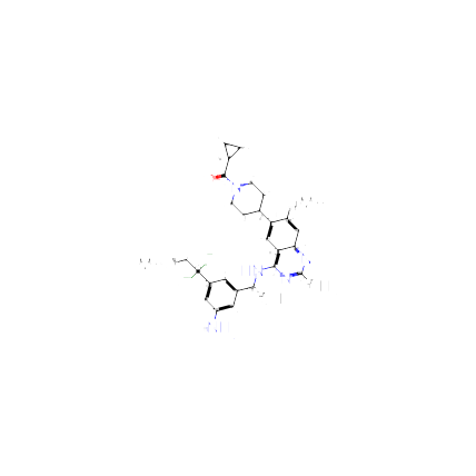 COCC(F)(F)c1cc(N)cc([C@@H](C)Nc2nc(C)nc3cc(OC)c(C4CCN(C(=O)C5CC5)CC4)cc23)c1